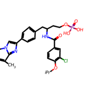 Cc1cccn2cc(-c3ccc(CC(CCOP(=O)(O)O)NC(=O)c4ccc(OC(C)C)c(Cl)c4)cc3)nc12